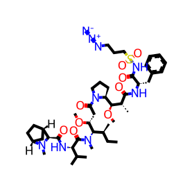 CC[C@H](C)[C@@H]([C@@H](CC(=O)N1CCC[C@H]1[C@H](OC)[C@@H](C)C(=O)N[C@@H](Cc1ccccc1)C(=O)NS(=O)(=O)CCCN=[N+]=[N-])OC)N(C)C(=O)[C@@H](NC(=O)[C@@H]1[C@H]2CC[C@H](C2)N1C)C(C)C